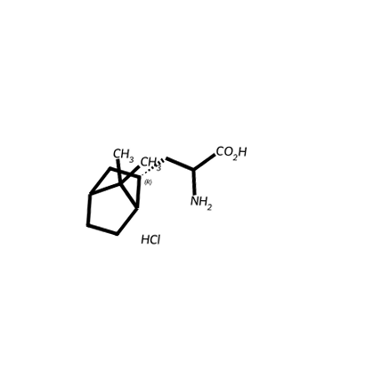 CC1(C)C2CCC1[C@@H](CC(N)C(=O)O)C2.Cl